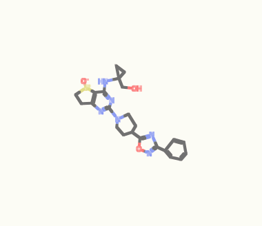 [O-][S+]1CCc2nc(N3CCC(c4nc(-c5ccccc5)no4)CC3)nc(NC3(CO)CC3)c21